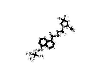 CC(C)(C)BNc1cccc2c(C(=O)NCC(=O)N3CC(F)(F)C[C@H]3C#N)ccnc12